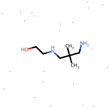 CC(C)(CN)CNCCO